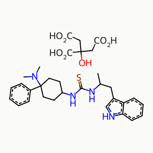 CC(Cc1c[nH]c2ccccc12)NC(=S)NC1CCC(c2ccccc2)(N(C)C)CC1.O=C(O)CC(O)(CC(=O)O)C(=O)O